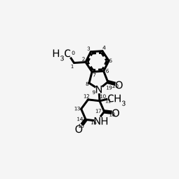 CCc1cccc2c1CN(C1(C)CCC(=O)NC1=O)C2=O